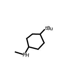 CPC1CCC(C(C)(C)C)CC1